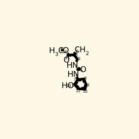 C=C(CNC(=O)Nc1ccccc1O)C(=O)OC